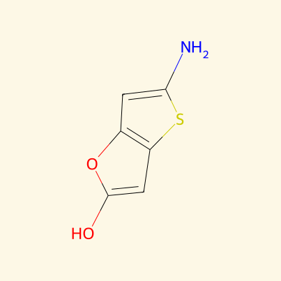 Nc1cc2oc(O)cc2s1